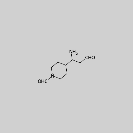 NC(CC=O)C1CCN(C=O)CC1